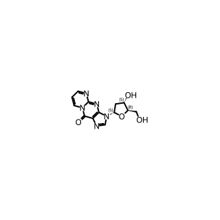 O=c1c2ncn([C@@H]3C[C@H](O)[C@@H](CO)O3)c2nc2ncccn12